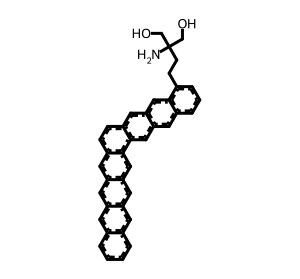 NC(CO)(CO)CCc1cccc2cc3cc4c(ccc5cc6cc7cc8ccccc8cc7cc6cc54)cc3cc12